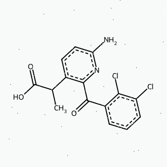 CC(C(=O)O)c1ccc(N)nc1C(=O)c1cccc(Cl)c1Cl